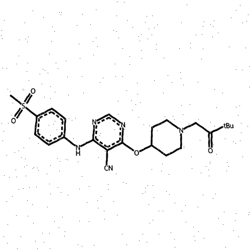 CC(C)(C)C(=O)CN1CCC(Oc2ncnc(Nc3ccc(S(C)(=O)=O)cc3)c2C#N)CC1